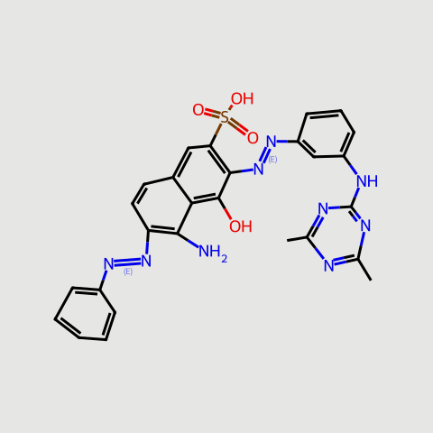 Cc1nc(C)nc(Nc2cccc(/N=N/c3c(S(=O)(=O)O)cc4ccc(/N=N/c5ccccc5)c(N)c4c3O)c2)n1